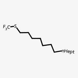 CCCCCCCCCCCCCCSC(F)(F)F